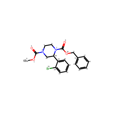 CC(C)(C)OC(=O)N1CCN(C(=O)OCc2ccccc2)C(c2ccccc2Br)C1